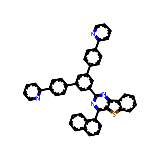 c1ccc(-c2ccc(-c3cc(-c4ccc(-c5ccccn5)cc4)cc(-c4nc(-c5cccc6ccccc56)c5sc6ccccc6c5n4)c3)cc2)nc1